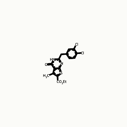 CCOC(=O)c1sc2nc(Cc3ccc(Cl)c(Cl)c3)[nH]c(=O)c2c1C